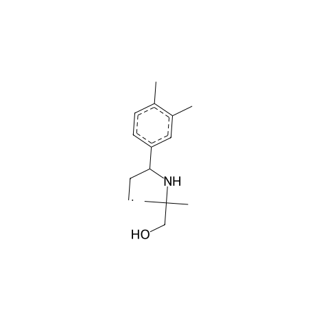 [CH2]CC(NC(C)(C)CO)c1ccc(C)c(C)c1